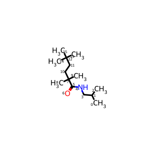 CC(C)CNC(=O)C(C)(C)CCC(C)(C)C